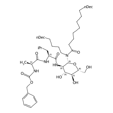 CCCCCCCCCCCCCCCCCC(=O)N(CCCCCCCCCCCCCC)[C@@H]1O[C@H](CO)[C@@H](O)[C@H](O)[C@H]1NC(=O)[C@H](CC(C)C)NC(=O)[C@H](C)NC(=O)OCc1ccccc1